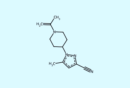 C=C(C)N1CCC(n2nc(C#N)cc2C)CC1